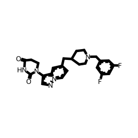 O=C1CCN(c2cnn3ccc(CC4CCN(Cc5cc(F)cc(F)c5)CC4)cc23)C(=O)N1